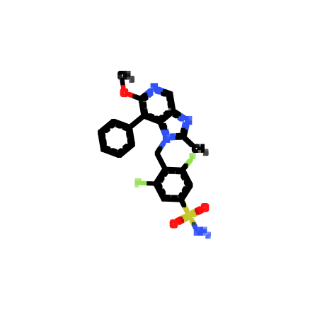 COc1ncc2nc(C)n(Cc3c(F)cc(S(N)(=O)=O)cc3F)c2c1-c1ccccc1